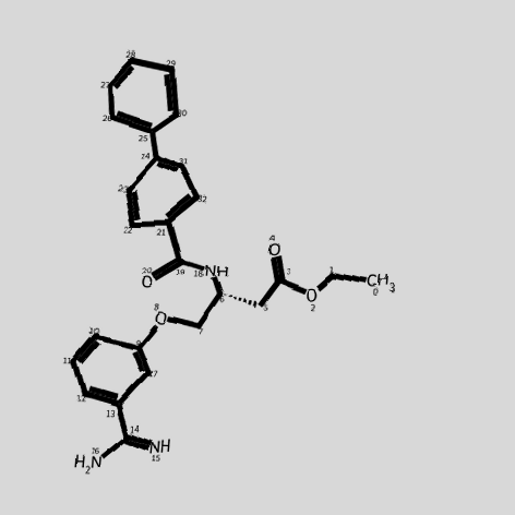 CCOC(=O)C[C@H](COc1cccc(C(=N)N)c1)NC(=O)c1ccc(-c2ccccc2)cc1